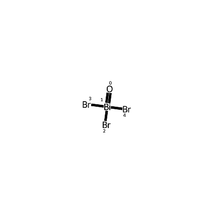 [O]=[Bi]([Br])([Br])[Br]